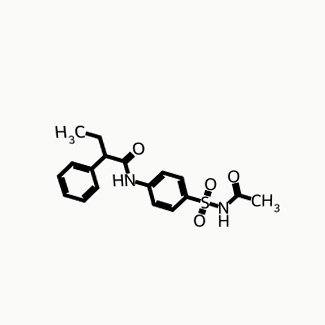 CCC(C(=O)Nc1ccc(S(=O)(=O)NC(C)=O)cc1)c1ccccc1